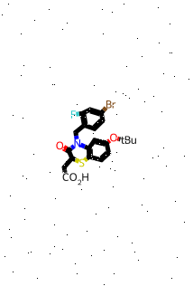 CC(C)(C)Oc1ccc2c(c1)N(Cc1ccc(Br)cc1F)C(=O)C(CC(=O)O)S2